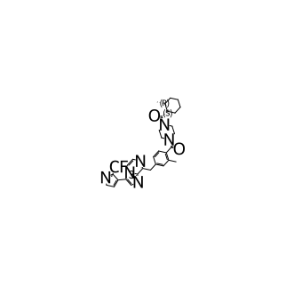 Cc1cc(Cc2nccn3c(C4=CCN=C4C(F)(F)F)cnc23)ccc1C(=O)N1CCN(C(=O)[C@H]2CCCC[C@H]2C)CC1